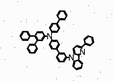 c1ccc(-c2ccc(N(c3ccc(-c4cccc(-n5c6ccccc6c6nc(-c7ccccc7)ccc65)c4)cc3)c3ccc(-c4ccccc4)c(-c4ccccc4)c3)cc2)cc1